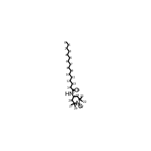 CCCCCCCCCCCCCCCC(=O)NC1CC(C)(C)N([O])C(C)(C)C1